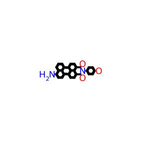 COc1ccc(N2C(=O)c3ccc4c5cccc6c(N)ccc(c7ccc(c3c47)C2=O)c65)cc1